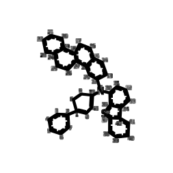 C1=C(c2ccccc2)CCC(N(c2ccc3ccc4c5ccccc5ccc4c3c2)c2cccc3c2sc2ccccc23)=C1